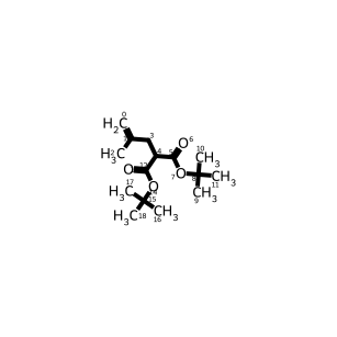 C=C(C)CC(C(=O)OC(C)(C)C)C(=O)OC(C)(C)C